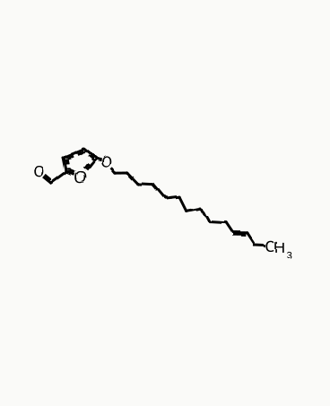 CCC=CCCCCCCCCCCOc1ccc(C=O)o1